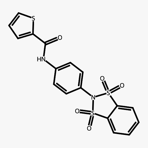 O=C(Nc1ccc(N2S(=O)(=O)c3ccccc3S2(=O)=O)cc1)c1cccs1